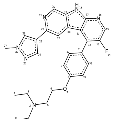 CCN(CC)CCOc1ccc(-c2c(F)cnc3[nH]c4cnc(-c5cnn(C)c5)cc4c23)cc1